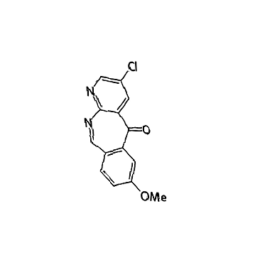 COc1ccc2cnc3ncc(Cl)cc3c(=O)c2c1